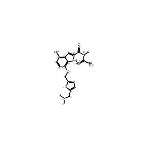 CN(C)Cc1ccc(COc2ccc(Cl)c3cc(C(=O)N(C)C(=N)N)[nH]c23)o1